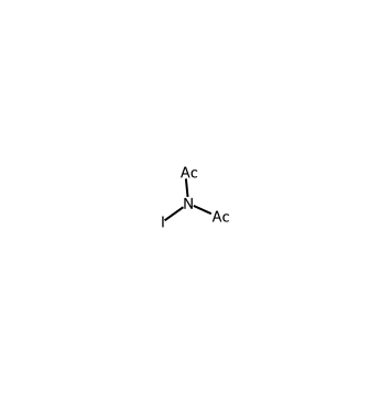 CC(=O)N(I)C(C)=O